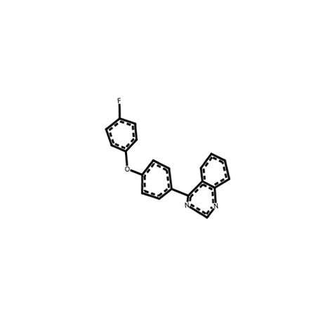 Fc1ccc(Oc2ccc(-c3n[c]nc4ccccc34)cc2)cc1